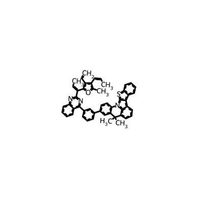 C=Cc1c(/C(=C\C)c2nc(-c3cccc(-c4ccc5c(c4)C(C)(C)c4cccc6c7c8ccccc8sc7n-5c46)c3)c3ccccc3n2)oc(C)c1/C=C\C